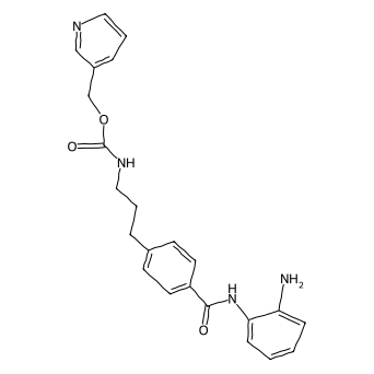 Nc1ccccc1NC(=O)c1ccc(CCCNC(=O)OCc2cccnc2)cc1